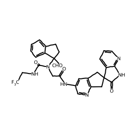 O=CC1(N(CC(=O)Nc2cnc3c(c2)CC2(C3)C(=O)Nc3ncccc32)C(=O)NCC(F)(F)F)CCc2ccccc21